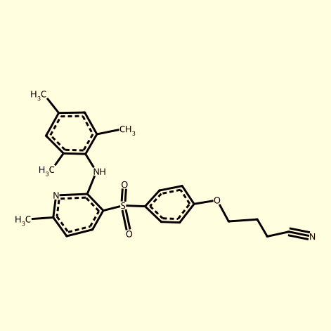 Cc1cc(C)c(Nc2nc(C)ccc2S(=O)(=O)c2ccc(OCCCC#N)cc2)c(C)c1